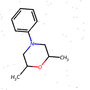 CC1CN(c2[c]cccc2)CC(C)O1